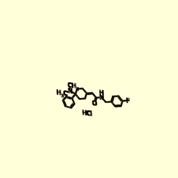 CN(C)C1(c2ccccc2)CCC(=CC(=O)NCc2ccc(F)cc2)CC1.Cl